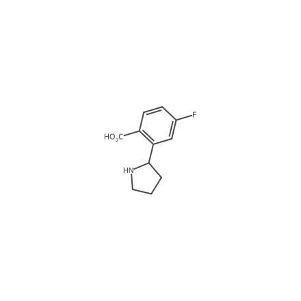 O=C(O)c1ccc(F)cc1C1CCCN1